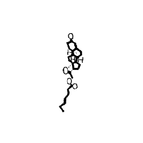 CCCCCCC(=O)OCC(=O)[C@H]1CC[C@H]2[C@@H]3CCC4=CC(=O)CC[C@]4(C)[C@H]3CC[C@]12C